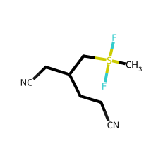 CS(F)(F)CC(CC#N)CCC#N